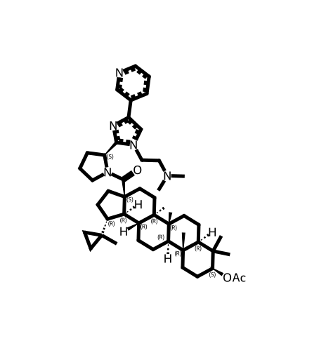 CC(=O)O[C@H]1CC[C@]2(C)[C@H]3CC[C@@H]4[C@H]5[C@H](C6(C)CC6)CC[C@]5(C(=O)N5CCC[C@H]5c5nc(-c6cccnc6)cn5CCN(C)C)CC[C@@]4(C)[C@]3(C)CC[C@H]2C1(C)C